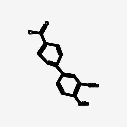 COc1ccc(-c2ccc(C(=O)Cl)cc2)cc1OC